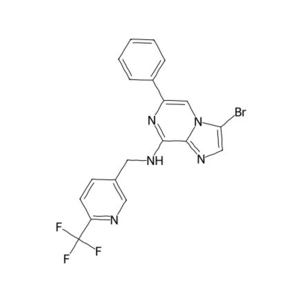 FC(F)(F)c1ccc(CNc2nc(-c3ccccc3)cn3c(Br)cnc23)cn1